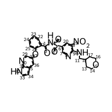 O=C(NS(=O)(=O)c1cnc(NCC2CCOCC2)c([N+](=O)[O-])c1)c1ccccc1Oc1cnc2[nH]ccc2c1